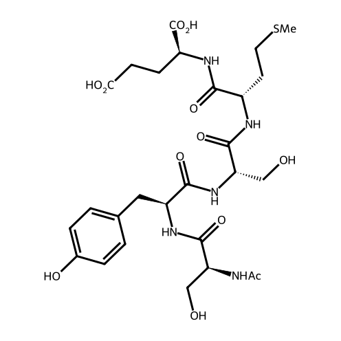 CSCC[C@H](NC(=O)[C@H](CO)NC(=O)[C@H](Cc1ccc(O)cc1)NC(=O)[C@H](CO)NC(C)=O)C(=O)N[C@@H](CCC(=O)O)C(=O)O